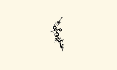 N#Cc1c(-c2ncc(S(=O)(=O)NC(CF)CF)cn2)n(C2CCC2)c2cc(OC(F)F)ccc12